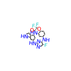 O=C1Nc2cc(Nc3nc(Nc4ccc5cc[nH]c5c4)ncc3F)ccc2OC1(F)F